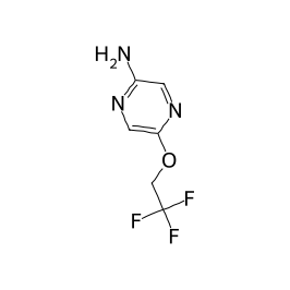 Nc1cnc(OCC(F)(F)F)cn1